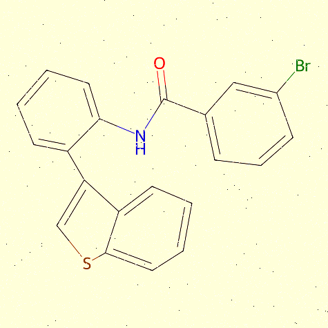 O=C(Nc1ccccc1-c1csc2ccccc12)c1cccc(Br)c1